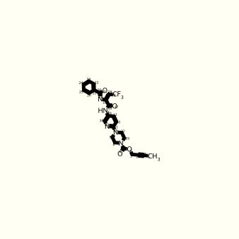 CC#CCOC(=O)N1CCN(c2ccc(NC(=O)c3nc(-c4ccccc4)oc3C(F)(F)F)cn2)CC1